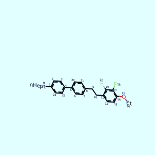 CCCCCCCc1ccc(-c2ccc(CCc3ccc(OCC)c(F)c3F)cc2)cc1